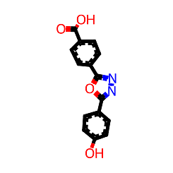 O=C(O)c1ccc(-c2nnc(-c3ccc(O)cc3)o2)cc1